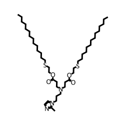 CCCCCCCCCCCCCCSCCOC(=O)CCN(CCCn1ccnc1C)CCC(=O)OCCSCCCCCCCCCCCCCC